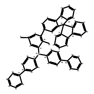 Cc1cc(-c2ccc3c(c2)C2(c4ccccc4-c4ccccc42)c2ccccc2-3)c(C)c(N(c2ccc(-c3ccccc3)cc2)c2ccc(-c3ccccc3)cc2)c1